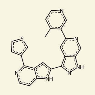 Cc1ccncc1-c1cc2c(-c3cc4c(-c5ccsc5)nccc4[nH]3)n[nH]c2cn1